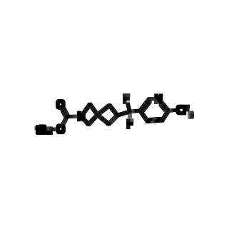 CC(C)(C)OC(=O)N1CC2(CC(C(F)(F)c3ccc(C(F)(F)F)nc3)C2)C1